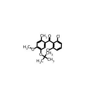 COc1cc(C)c(C(=O)c2c(Cl)cccc2Cl)cc1OC(C)(C)C